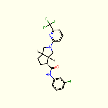 O=C(Nc1cccc(F)c1)[C@H]1CC[C@@H]2CN(c3cccc(C(F)(F)F)n3)C[C@@H]21